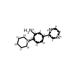 Nc1cc(-c2cnccn2)ccc1N1CCCCC1